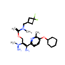 C=C(OC/C(=C(/N)c1ccc(OC2CCCCC2)c(C)n1)N(C)N)N(C)CC1CC(F)(F)C1